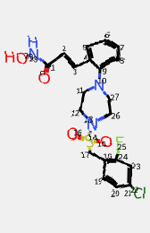 O=C(C=Cc1ccccc1N1CCN(S(=O)(=O)Cc2ccc(Cl)cc2F)CC1)NO